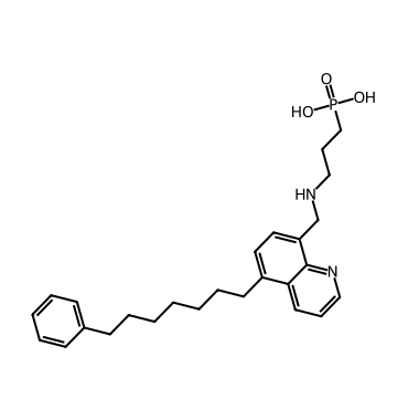 O=P(O)(O)CCCNCc1ccc(CCCCCCCc2ccccc2)c2cccnc12